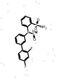 NS(=O)(=O)c1ccccc1N(c1cccc(-c2ccc(F)cc2F)c1)[SH](=O)=O